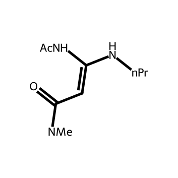 CCCN/C(=C/C(=O)NC)NC(C)=O